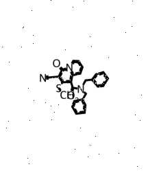 CSc1c(C#N)c(=O)n2ccccc2c1C(=O)N(Cc1ccccc1)Cc1ccccc1